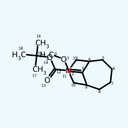 COC=C1C2CCCCC1CN(C(=O)OC(C)(C)C)C2